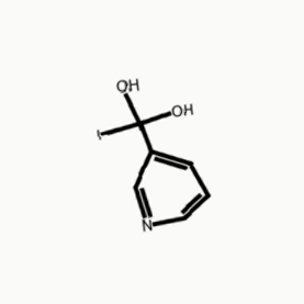 OC(O)(I)c1cccnc1